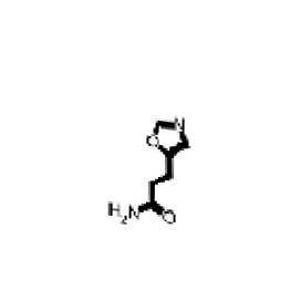 NC(=O)CCc1cnco1